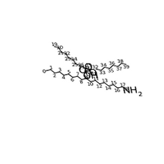 CCCCCCCCCCCCCCCCCCN.CCCCCCCCOP(=O)(O)OCCCCCCCC